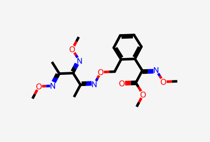 CON=C(C)C(=NOC)C(C)=NOCc1ccccc1C(=NOC)C(=O)OC